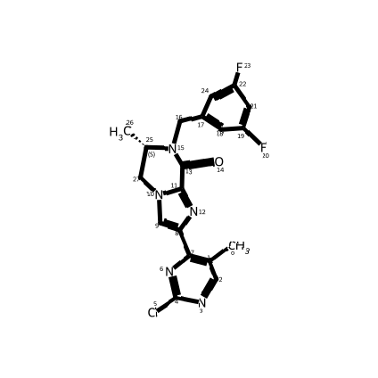 Cc1cnc(Cl)nc1-c1cn2c(n1)C(=O)N(Cc1cc(F)cc(F)c1)[C@@H](C)C2